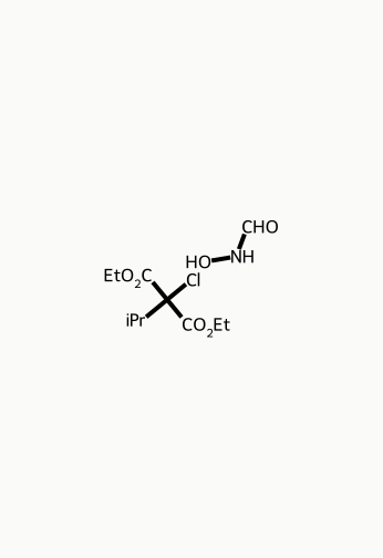 CCOC(=O)C(Cl)(C(=O)OCC)C(C)C.O=CNO